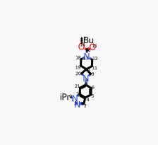 CC(C)n1ncc2ccc(N3CC4(CCN(C(=O)OC(C)(C)C)CC4)C3)cc21